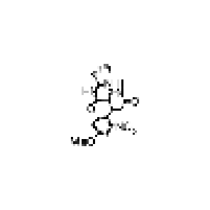 CCCSc1nc2c(c(=O)[nH]1)C(c1ccc(OC)cc1[N+](=O)[O-])CC(=O)N2